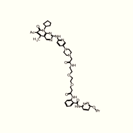 CC(=O)c1c(C)c2cnc(Nc3ccc(N4CCN(CC(=O)NCCOCCOCCC(=O)Nc5ccccc5C(=O)Nc5ccc(OC(C)C)nn5)CC4)cn3)nc2n(C2CCCC2)c1=O